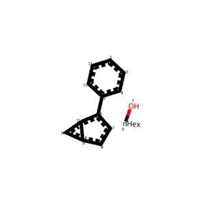 CCCCCCO.c1ccc(-c2ccc3cc2-3)cc1